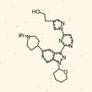 CC(C)N1CCC(c2ccc3c(c2)c(-c2nccc(-n4cc(CCO)cn4)n2)nn3C2CCCCO2)CC1